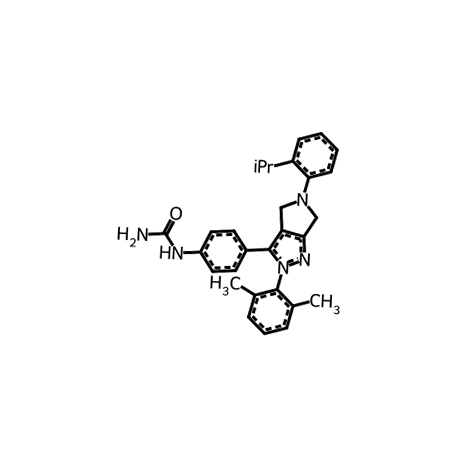 Cc1cccc(C)c1-n1nc2c(c1-c1ccc(NC(N)=O)cc1)CN(c1ccccc1C(C)C)C2